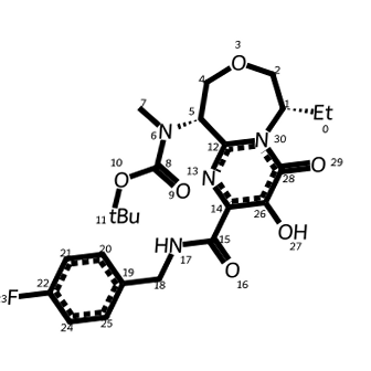 CC[C@H]1COC[C@@H](N(C)C(=O)OC(C)(C)C)c2nc(C(=O)NCc3ccc(F)cc3)c(O)c(=O)n21